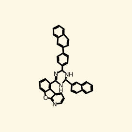 c1ccc2cc(-c3ccc(C4N=C(c5cccc6oc7ncccc7c56)NC(c5ccc6ccccc6c5)N4)cc3)ccc2c1